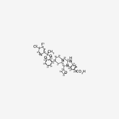 CC1(C2=CC(F)C(Cl)C=N2)Oc2cccc(C3CCN(CC4Nc5sc(C(=O)O)cc5N4CC4CCO4)CC3)c2O1